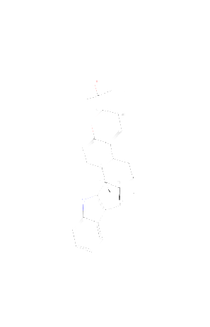 CC(C)(O)[C@H]1OC2=CC[C@@]3(C)C(CC[C@H]4Cc5c([nH]c6ccccc56)[C@@]43C)C2=C[C@H]1O